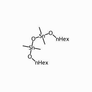 CCCCCC[O][Sn]([CH3])([CH3])[O][Sn]([CH3])([CH3])[O]CCCCCC